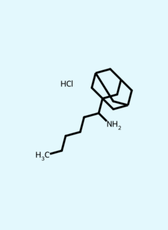 CCCCCC(N)C12CC3CC(CC(C3)C1)C2.Cl